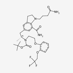 C[C@H](Cc1cc2c(c(C(N)=O)c1)N(CCCC(N)=O)CC2)N(CCOc1ccccc1OCC(F)(F)F)C(=O)OC(C)(C)C